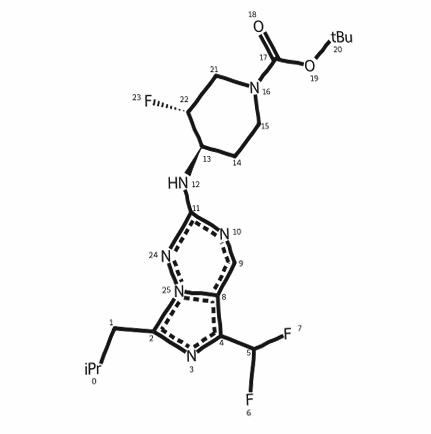 CC(C)Cc1nc(C(F)F)c2cnc(N[C@@H]3CCN(C(=O)OC(C)(C)C)C[C@H]3F)nn12